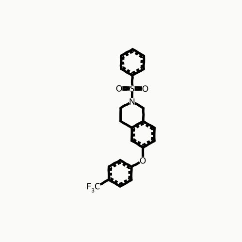 O=S(=O)(c1ccccc1)N1CCc2cc(Oc3ccc(C(F)(F)F)cc3)ccc2C1